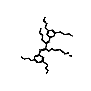 CCCCCCC(=N\c1cc(CCCC)cc(CCCC)c1)/C(CCCC)=N/c1cc(CCCC)cc(CCCC)c1.[Pd]